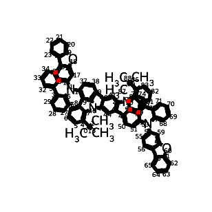 CC(C)(C)c1cccc2c3c(N(c4ccc5c(c4)oc4ccccc45)c4ccccc4-c4ccccc4)ccc4c5cc6c(cc5n(c12)c43)c1ccc(N(c2ccc3c(c2)oc2ccccc23)c2ccccc2-c2ccccc2)c2c3cccc(C(C)(C)C)c3n6c12